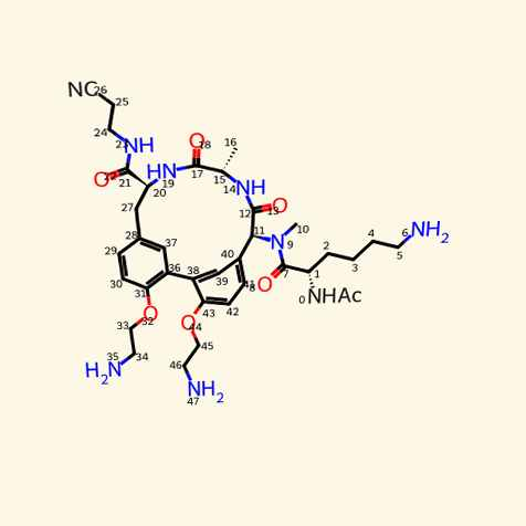 CC(=O)N[C@@H](CCCCN)C(=O)N(C)[C@@H]1C(=O)N[C@@H](C)C(=O)N[C@H](C(=O)NCCC#N)Cc2ccc(OCCN)c(c2)-c2cc1ccc2OCCN